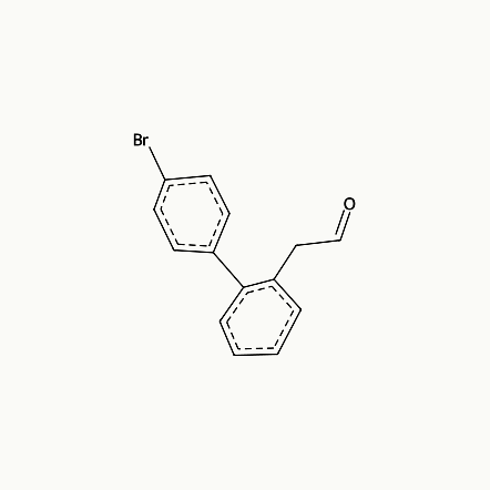 O=CCc1ccccc1-c1ccc(Br)cc1